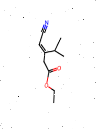 CCOC(=O)C/C(=C/C#N)C(C)C